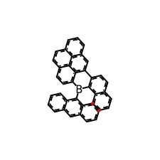 c1ccc2c3c(ccc2c1)-c1cc2cccc4ccc5ccc(c1c5c42)B3c1c2ccccc2cc2ccccc12